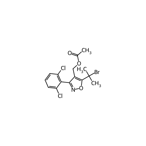 CC(=O)OCc1c(-c2c(Cl)cccc2Cl)noc1C(C)(C)Br